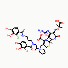 CC(CN(CCCNC(=O)c1ccc(O)c(O)c1Cl)C(=O)c1ccc(O)c(O)c1Cl)[N+]1(CC2=C(C(=O)[O-])N3C(=O)[C@@H](NC(=O)/C(=N\OC(C)(C)C(=O)O)c4csc(N)n4)[C@H]3SC2)CCCC1